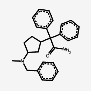 CN(Cc1ccccc1)C1CCC(C(C(N)=O)(c2ccccc2)c2ccccc2)C1